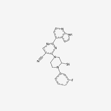 N#Cc1cnc(-c2ccnc3[nH]ccc23)nc1N1CCN(c2cccc(F)c2)C(S)C1